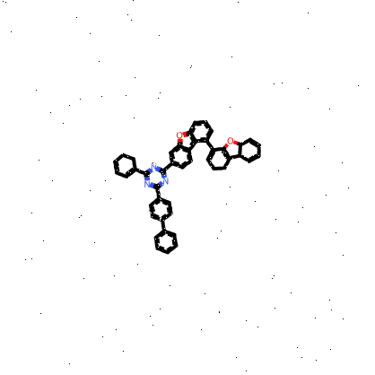 C1=CCCC(c2nc(-c3ccc(-c4ccccc4)cc3)nc(-c3ccc4c(c3)oc3cccc(C5=CCCC6=C5OC5C=CC=CC65)c34)n2)=C1